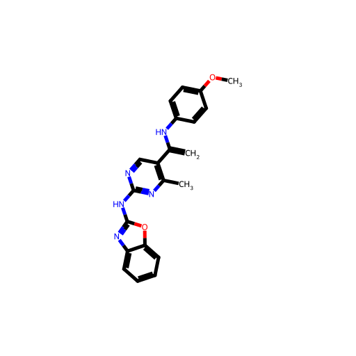 C=C(Nc1ccc(OC)cc1)c1cnc(Nc2nc3ccccc3o2)nc1C